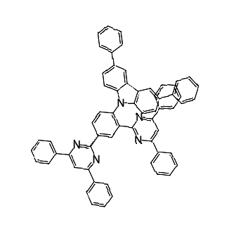 c1ccc(-c2ccc3c(c2)c2cc(-c4ccccc4)ccc2n3-c2ccc(-c3nc(-c4ccccc4)cc(-c4ccccc4)n3)cc2-c2nc(-c3ccccc3)cc(-c3ccccc3)n2)cc1